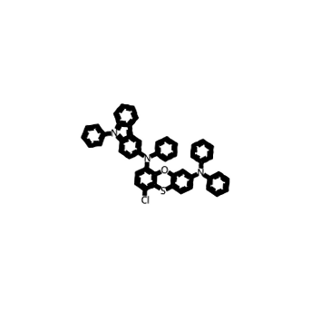 Clc1ccc(N(c2ccccc2)c2ccc3c(c2)c2ccccc2n3-c2ccccc2)c2c1Sc1ccc(N(c3ccccc3)c3ccccc3)cc1O2